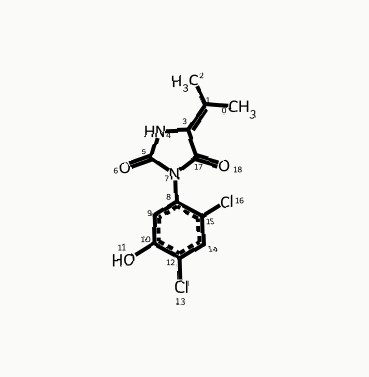 CC(C)=C1NC(=O)N(c2cc(O)c(Cl)cc2Cl)C1=O